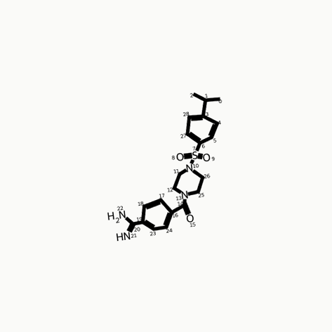 CC(C)c1ccc(S(=O)(=O)N2CCN(C(=O)c3ccc(C(=N)N)cc3)CC2)cc1